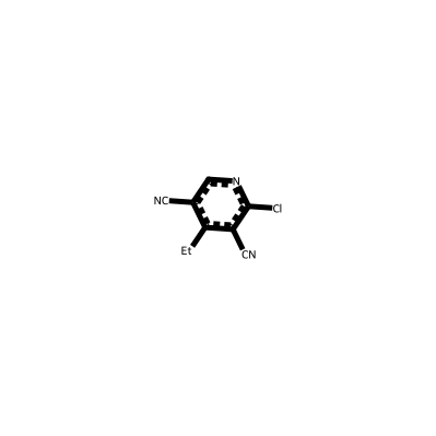 CCc1c(C#N)cnc(Cl)c1C#N